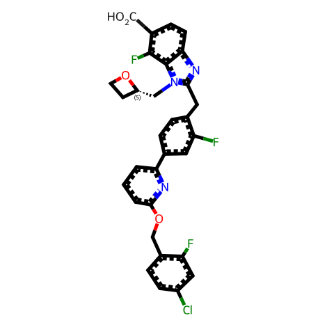 O=C(O)c1ccc2nc(Cc3ccc(-c4cccc(OCc5ccc(Cl)cc5F)n4)cc3F)n(C[C@@H]3CCO3)c2c1F